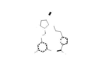 N#C[C@H]1C[C@@H](O)[C@H](COc2cc(Cl)cc(Cl)c2)[C@H]1CCCc1ccc(C(=O)O)s1